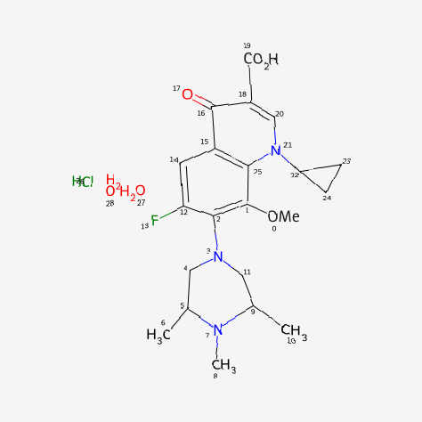 COc1c(N2CC(C)N(C)C(C)C2)c(F)cc2c(=O)c(C(=O)O)cn(C3CC3)c12.Cl.O.O